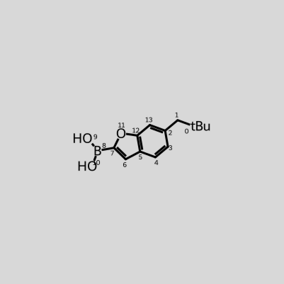 CC(C)(C)Cc1ccc2cc(B(O)O)oc2c1